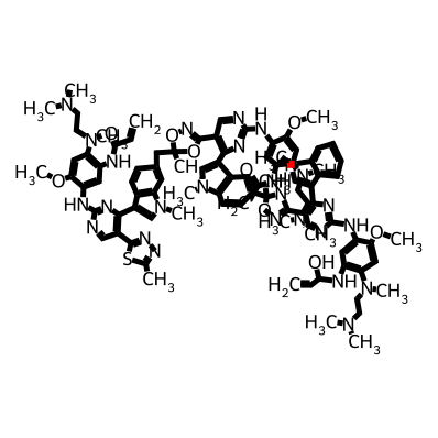 C=CC(=O)Nc1cc(Nc2ncc(C3=NOC(C)(Cc4ccc5c(-c6nc(Nc7cc(NC(=O)C=C)c(N(C)CCN(C)C)cc7OC)ncc6-c6nnc(C)s6)cn(C)c5c4)O3)c(-c3cn(C)c4ccc(C5(C)NC(c6cnc(Nc7cc(NC(O)C=C)c(N(C)CCN(C)C)cc7OC)nc6-c6cn(C)c7ccccc67)=NO5)cc34)n2)c(OC)cc1N(C)CCN(C)C